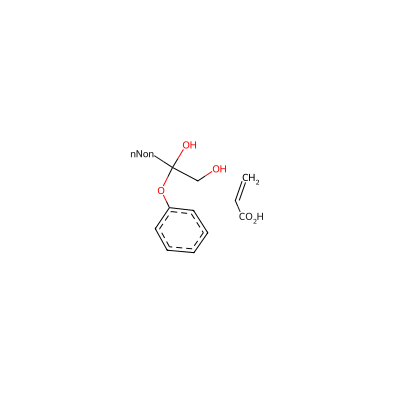 C=CC(=O)O.CCCCCCCCCC(O)(CO)Oc1ccccc1